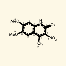 COc1cc2[nH]c(=O)c([N+](=O)[O-])c(C(F)(F)F)c2cc1OC